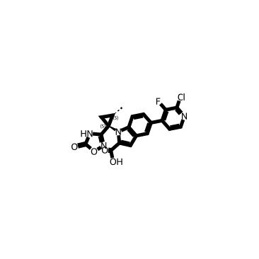 C[C@H]1C[C@]1(c1noc(=O)[nH]1)n1c(C(=O)O)cc2cc(-c3ccnc(Cl)c3F)ccc21